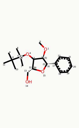 CO[C@@H]1C(O[Si](C)(C)C(C)(C)C)[C@@H](CO)O[C@H]1c1ccccc1